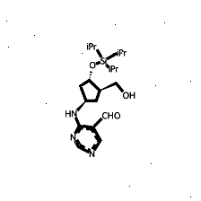 CC(C)[Si](O[C@H]1C[C@H](Nc2ncncc2C=O)C[C@@H]1CO)(C(C)C)C(C)C